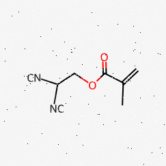 [C-]#[N+]C(COC(=O)C(=C)C)[N+]#[C-]